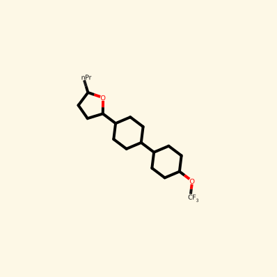 CCCC1CCC(C2CCC(C3CCC(OC(F)(F)F)CC3)CC2)O1